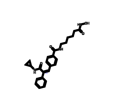 O=C(CCCCCNC(=O)c1ccc(/C=C(\C(=O)NC2CC2)c2ccccc2)cc1)NO